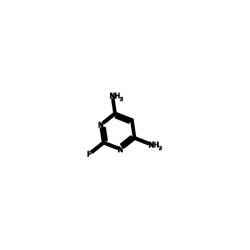 Nc1cc(N)nc(F)n1